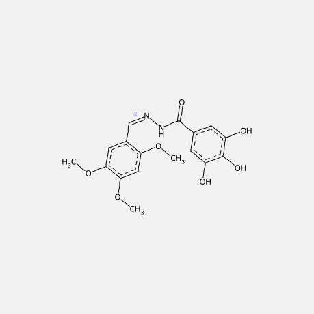 COc1cc(OC)c(OC)cc1/C=N\NC(=O)c1cc(O)c(O)c(O)c1